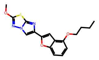 CCCCOc1cccc2oc(-c3cn4nc(OC)sc4n3)cc12